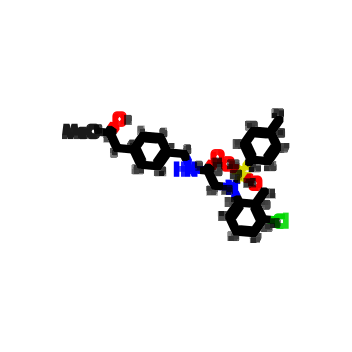 COC(=O)Cc1ccc(CNC(=O)CN(c2cccc(Cl)c2C)S(=O)(=O)c2ccc(C)cc2)cc1